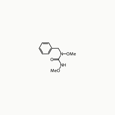 CONC(=O)N(Cc1ccccc1)OC